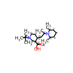 CC1CCCC(C)N1C(C)CC1CCN(C(C)(C)C)CC1C(=O)O